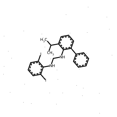 CC(C)c1cccc(-c2ccccc2)c1NCNc1c(I)cccc1I